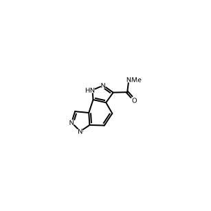 CNC(=O)c1n[nH]c2c3c(ccc12)[N]N=C3